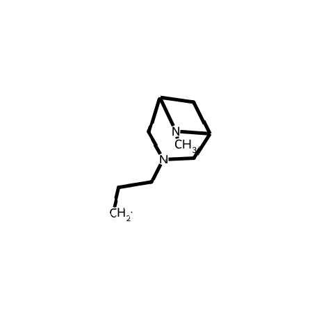 [CH2]CCN1CC2CC(C1)N2C